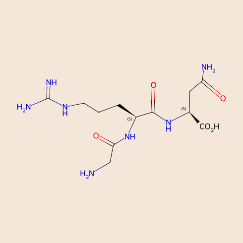 N=C(N)NCCC[C@H](NC(=O)CN)C(=O)N[C@@H](CC(N)=O)C(=O)O